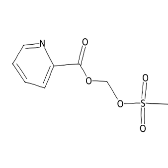 CS(=O)(=O)OCOC(=O)c1ccccn1